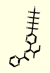 C=C(/N=C(\C(C)=C/C)c1ccc(C(F)(F)C(F)(F)C(F)(F)C(F)(F)F)nn1)c1ncccn1